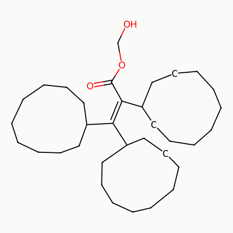 O=C(OCO)C(=C(C1CCCCCCCCC1)C1CCCCCCCCC1)C1CCCCCCCCC1